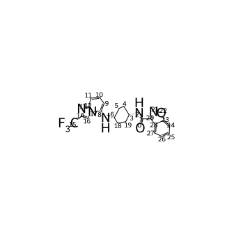 O=C(N[C@H]1CC[C@@H](Nc2cccc3nc(C(F)(F)F)cn23)CC1)c1noc2ccccc12